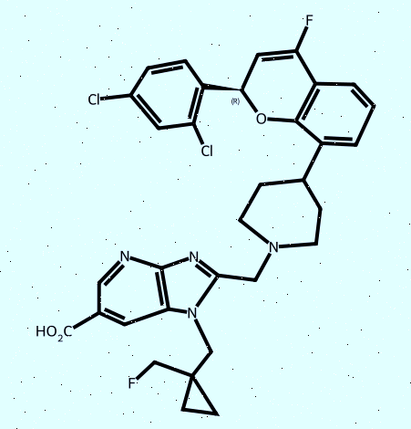 O=C(O)c1cnc2nc(CN3CCC(c4cccc5c4O[C@@H](c4ccc(Cl)cc4Cl)C=C5F)CC3)n(CC3(CF)CC3)c2c1